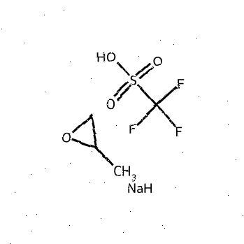 CC1CO1.O=S(=O)(O)C(F)(F)F.[NaH]